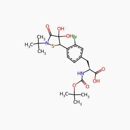 CC(C)(C)OC(=O)N[C@@H](Cc1ccc(C2SN(C(C)(C)C)C(=O)C2(O)O)c(Br)c1)C(=O)O